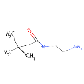 CC(C)(C)C(=O)[N]CCN